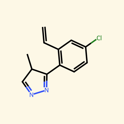 C=Cc1cc(Cl)ccc1C1=NN=CC1C